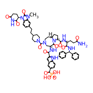 Cn1c(=O)n(C2CCC(=O)NC2=O)c2ccc(CCC3CCN(C(=O)N4CC[C@H]5CC[C@@H](C(=O)N[C@@H](CCC(N)=O)C(=O)NC(c6ccccc6)c6ccccc6)N5C(=O)[C@@H](NC(=O)c5cc6cc(C(=O)P(=O)(O)O)ccc6[nH]5)C4)CC3)cc21